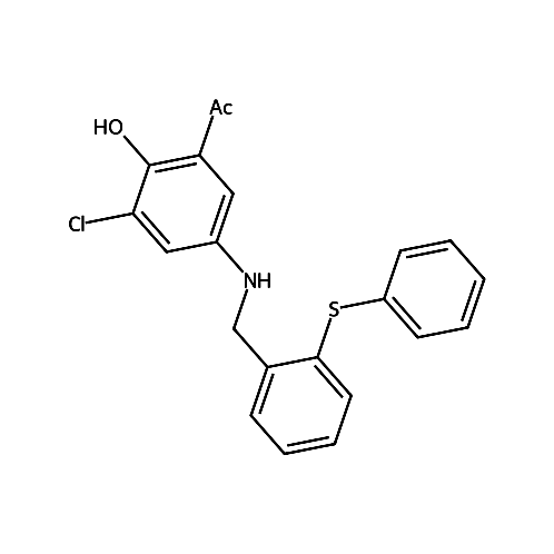 CC(=O)c1cc(NCc2ccccc2Sc2ccccc2)cc(Cl)c1O